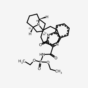 CCOP(=O)(NC(=O)c1nc2ccccc2n([C@H]2C[C@H]3CCC[C@@H](C2)N3C2CCCCCCC2)c1=O)OCC